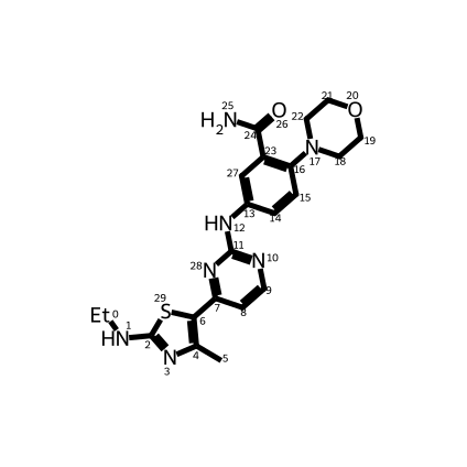 CCNc1nc(C)c(-c2ccnc(Nc3ccc(N4CCOCC4)c(C(N)=O)c3)n2)s1